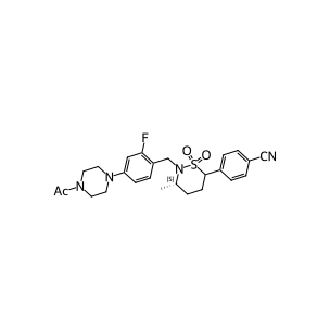 CC(=O)N1CCN(c2ccc(CN3[C@@H](C)CCC(c4ccc(C#N)cc4)S3(=O)=O)c(F)c2)CC1